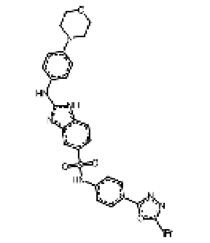 CC(C)c1nnc(-c2ccc(NS(=O)(=O)c3ccc4[nH]c(Nc5ccc(N6CCOCC6)cc5)nc4c3)cc2)o1